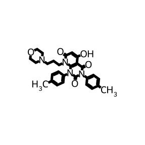 Cc1ccc(-n2c(=O)c3c(O)cc(=O)n(CCCN4CCOCC4)c3n(-c3ccc(C)cc3)c2=O)cc1